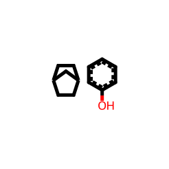 C1CC2CCC1C2.Oc1ccccc1